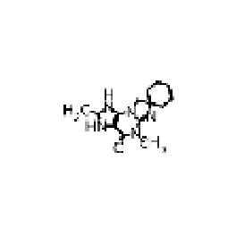 CC1NC2=C(N1)N1CC3(CCCCC3)N=C1N(C)C2=O